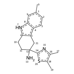 Cc1ccc2c3c([nH]c2c1)CCC(N)(c1nc(C)c(C)s1)C3